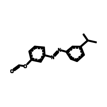 CC(C)c1cccc(/N=N/c2cccc(OC=O)c2)c1